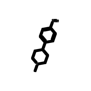 CSc1ccc(C2CCN(C)CC2)cc1